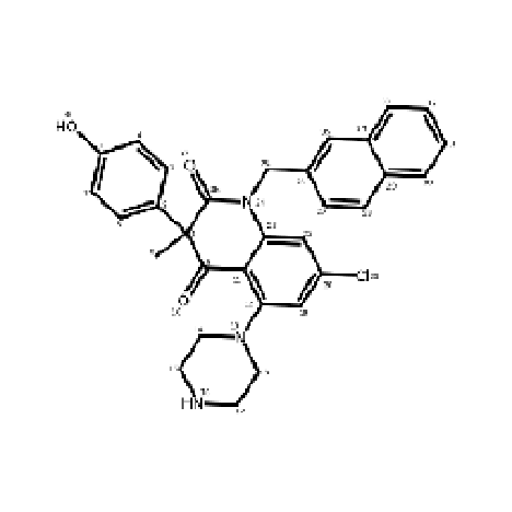 CC1(c2ccc(O)cc2)C(=O)c2c(N3CCNCC3)cc(Cl)cc2N(Cc2ccc3ccccc3c2)C1=O